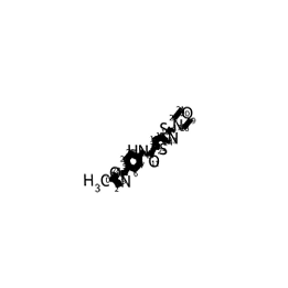 Cc1cnc(-c2ccc(NC(=O)c3cc4sc(N5CCOCC5)nc4s3)cc2)o1